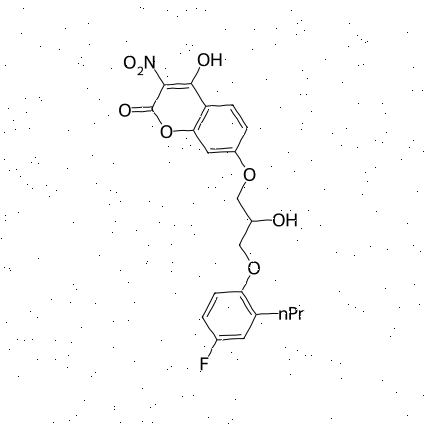 CCCc1cc(F)ccc1OCC(O)COc1ccc2c(O)c([N+](=O)[O-])c(=O)oc2c1